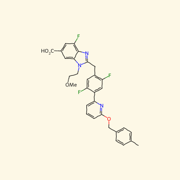 COCCn1c(Cc2cc(F)c(-c3cccc(OCc4ccc(C)cc4)n3)cc2F)nc2c(F)cc(C(=O)O)cc21